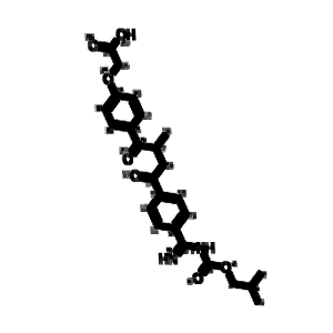 CC(C)COC(=O)NC(=N)c1ccc(C(=O)CC(C)C(=O)c2ccc(OCC(=O)O)cc2)cc1